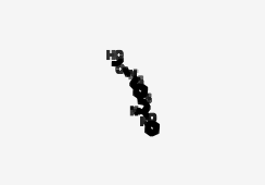 CC(CO)OCCN(C)c1cc2cc3cc(/C=C(\C#N)c4nc5ccccc5o4)sc3cc2s1